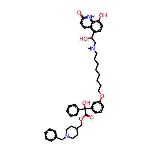 O=C(OCC1CCN(Cc2ccccc2)CC1)C(O)(c1ccccc1)c1cccc(OCCCCCCCCNCC(O)c2ccc(O)c3[nH]c(=O)ccc23)c1